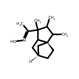 CC(=NO)C1(C)C(C)C(C)[C@@]23CC[C@@H](CC12)C3